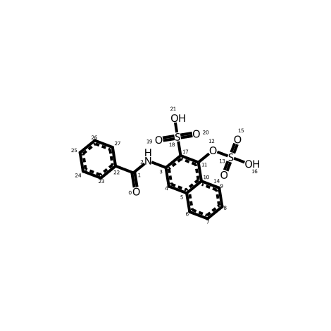 O=C(Nc1cc2ccccc2c(OS(=O)(=O)O)c1S(=O)(=O)O)c1ccccc1